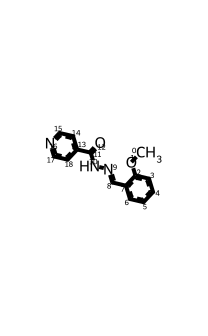 COc1ccccc1/C=N/NC(=O)c1ccncc1